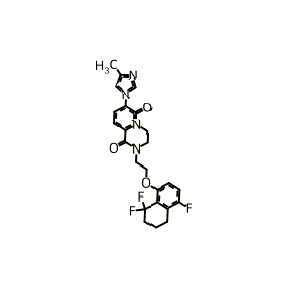 Cc1cn(-c2ccc3n(c2=O)CCN(CCOc2ccc(F)c4c2C(F)(F)CCC4)C3=O)cn1